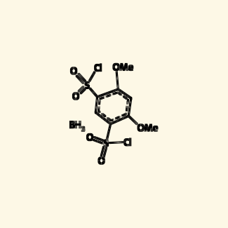 B.COc1cc(OC)c(S(=O)(=O)Cl)cc1S(=O)(=O)Cl